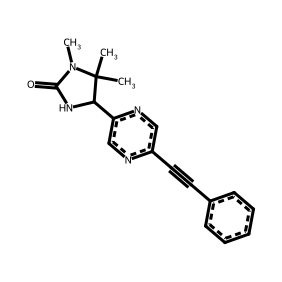 CN1C(=O)NC(c2cnc(C#Cc3ccccc3)cn2)C1(C)C